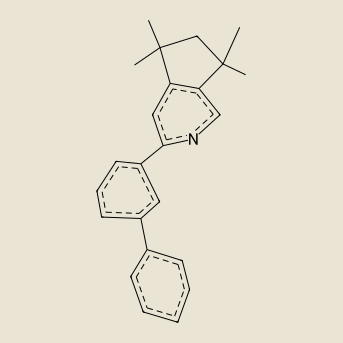 CC1(C)CC(C)(C)c2cc(-c3cccc(-c4ccccc4)c3)ncc21